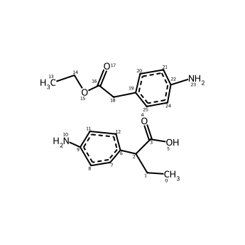 CCC(C(=O)O)c1ccc(N)cc1.CCOC(=O)Cc1ccc(N)cc1